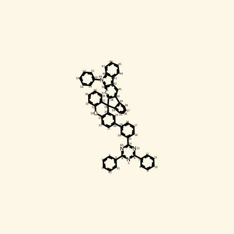 c1ccc(-c2nc(-c3ccccc3)nc(-c3cccc(-c4ccc5c(c4)C4(c6ccccc6O5)c5ccccc5-c5cc6c7ccccc7n(-c7ccccc7)c6cc54)c3)n2)cc1